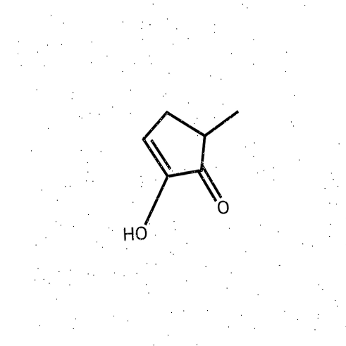 CC1CC=C(O)C1=O